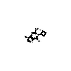 Cn1cnc2c(=O)n(C3CCC3)c(N)nc21